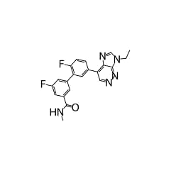 CCn1cnc2c(-c3ccc(F)c(-c4cc(F)cc(C(=O)NC)c4)c3)cnnc21